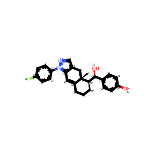 C[C@]12Cc3cnn(-c4ccc(F)cc4)c3C=C1CCC[C@@H]2[C@@H](O)c1ccc(O)cc1